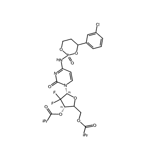 CC(C)C(=O)OCC1O[C@@H](n2ccc(NP3(=O)OCCC(c4cccc(Cl)c4)O3)nc2=O)C(F)(F)[C@H]1OC(=O)C(C)C